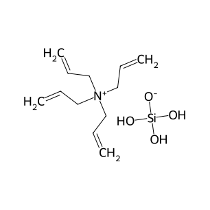 C=CC[N+](CC=C)(CC=C)CC=C.[O-][Si](O)(O)O